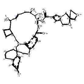 CC1C/C=C/C(O)C2CCC2CN2CC3(CCCc4cc(Cl)ccc43)COc3ccc(cc32)C(=O)N=S(=O)(NC(=O)c2cc3n(c2)CC2(COC2)OC3)C1C